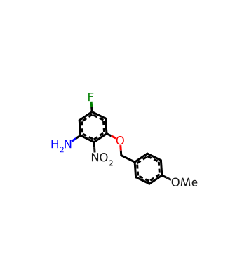 COc1ccc(COc2cc(F)cc(N)c2[N+](=O)[O-])cc1